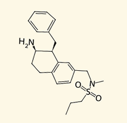 CCCS(=O)(=O)N(C)Cc1ccc2c(c1)[C@H](Cc1ccccc1)[C@H](N)CC2